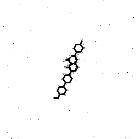 C=CC1CC=C(C2CCC(c3ccc4cc(C5CCC(C)CC5)oc(=O)c4c3F)CC2)CC1